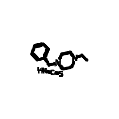 CCN1CCN(Cc2ccccc2)CC1.N=C=S